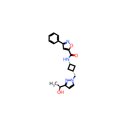 C[C@H](O)c1ccn(C[C@H]2C[C@@H](NC(=O)c3cc(-c4ccccc4)no3)C2)n1